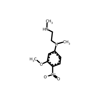 CNCCN(C)c1ccc([N+](=O)[O-])c(OC)c1